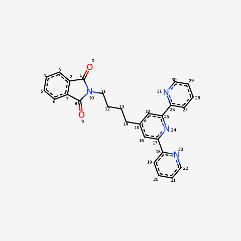 O=C1c2ccccc2C(=O)N1CCCCc1cc(-c2ccccn2)nc(-c2ccccn2)c1